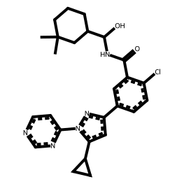 CC1(C)CCCC(C(O)NC(=O)c2cc(-c3cc(C4CC4)n(-c4ccncn4)n3)ccc2Cl)C1